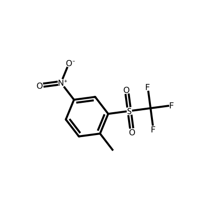 Cc1ccc([N+](=O)[O-])cc1S(=O)(=O)C(F)(F)F